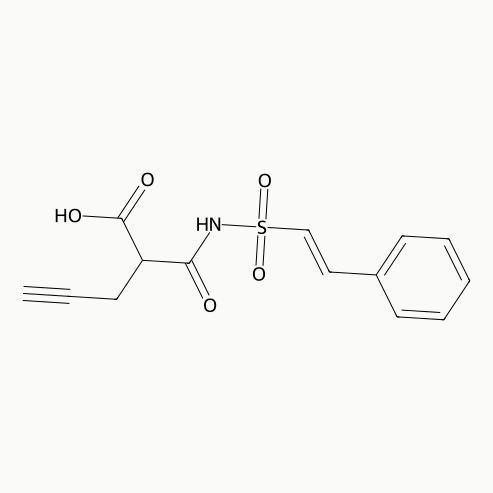 C#CCC(C(=O)O)C(=O)NS(=O)(=O)C=Cc1ccccc1